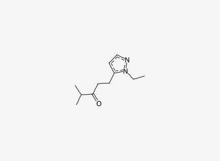 CCn1nccc1CCC(=O)C(C)C